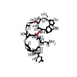 C/N=C1/N[C@H]2C(=O)N[C@H](C(=O)N[C@H](CO)C3=CC(O)CC(O)=C3C3CC2=CC=C3O)[C@H](O)c2ccc(c(Cl)c2)Oc2cc3cc(c2O)Oc2ccc(cc2Cl)[C@@H](O)[C@@H](NC(=O)[C@@H](CC(C)C)NC)C(=O)N[C@@H](CCC(N)=O)C(=O)N[C@@H]13